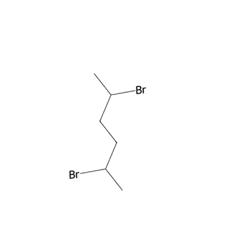 CC(Br)CCC(C)Br